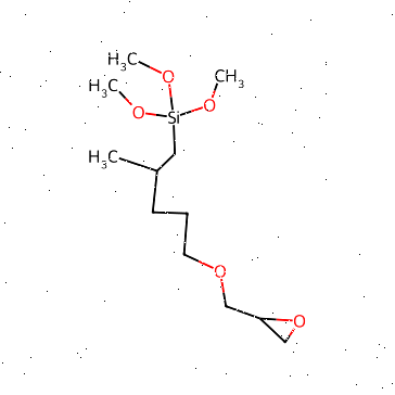 CO[Si](CC(C)CCCOCC1CO1)(OC)OC